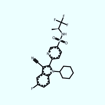 C[C@H](NS(=O)(=O)c1ccc(-c2c(C#N)c3cc(F)ccc3n2C2CCCCC2)nc1)C(F)(F)F